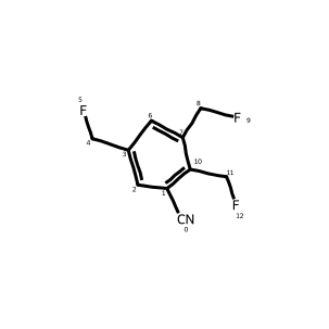 N#Cc1cc(CF)cc(CF)c1CF